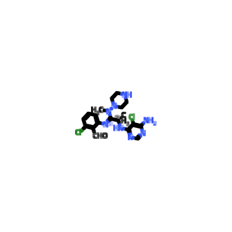 C[C@H](Nc1ncnc(N)c1Cl)/C(=N/c1cccc(Cl)c1C=O)N(C)N1CCNCC1